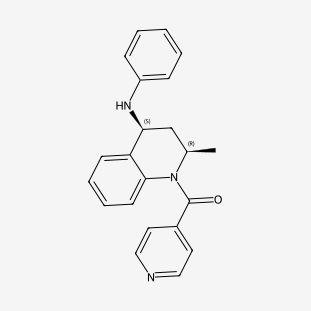 C[C@@H]1C[C@H](Nc2ccccc2)c2ccccc2N1C(=O)c1ccncc1